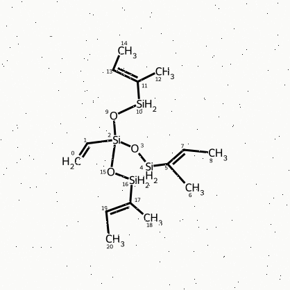 C=C[Si](O[SiH2]C(C)=CC)(O[SiH2]C(C)=CC)O[SiH2]C(C)=CC